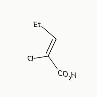 CCC=C(Cl)C(=O)O